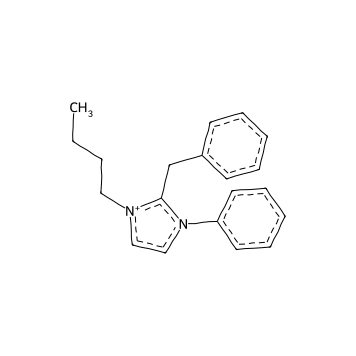 CCCC[n+]1ccn(-c2ccccc2)c1Cc1ccccc1